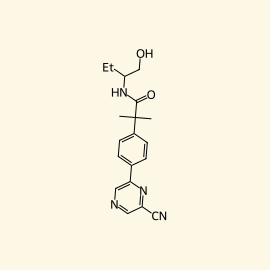 CCC(CO)NC(=O)C(C)(C)c1ccc(-c2cncc(C#N)n2)cc1